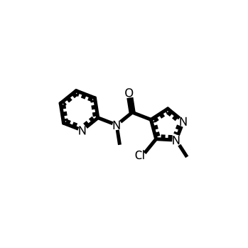 CN(C(=O)c1cnn(C)c1Cl)c1ccccn1